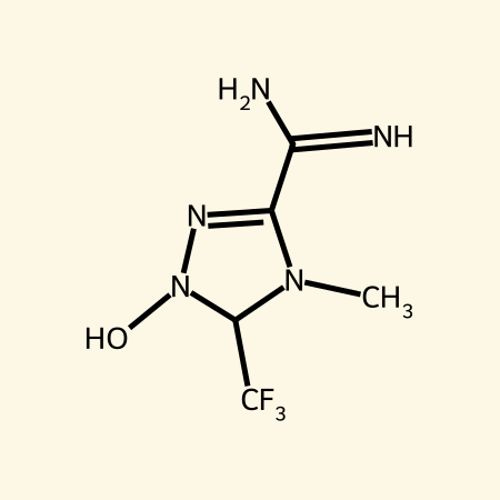 CN1C(C(=N)N)=NN(O)C1C(F)(F)F